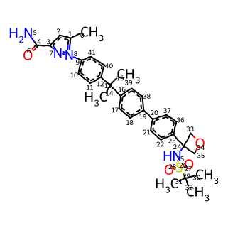 Cc1cc(C(N)=O)nn1-c1ccc(C(C)(C)c2ccc(-c3ccc(C4(NS(=O)(=O)C(C)(C)C)COC4)cc3)cc2)cc1